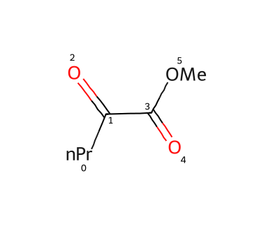 CCCC(=O)C(=O)OC